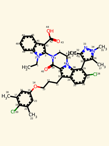 CCn1c(N2C[C@@H](C)n3c(c(CCCOc4cc(C)c(Cl)c(C)c4)c4ccc(Cl)c(-c5c(C)nn(C)c5C)c43)C2=O)c(C(=O)O)c2ccccc21